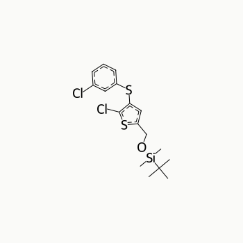 CC(C)(C)[Si](C)(C)OCc1cc(Sc2cccc(Cl)c2)c(Cl)s1